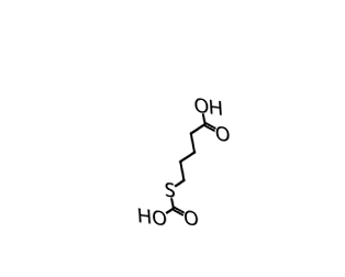 O=C(O)CCCCSC(=O)O